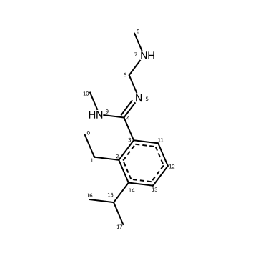 CCc1c(/C(=N/CNC)NC)cccc1C(C)C